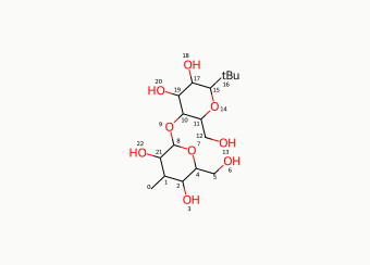 CC1C(O)C(CO)OC(OC2C(CO)OC(C(C)(C)C)C(O)C2O)C1O